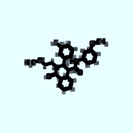 COCCN1C(=O)c2ccccc2C(C(=O)Nc2cccc(OC)c2)C1c1cccc(F)c1